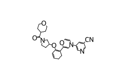 N#Cc1cncc(N2C=COC(C3=C(O[C@H]4CCN(C(=O)C5CCOCC5)C4)C=CCC3)=C2)c1